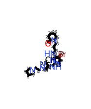 Cc1nn(CCN2CCCC2)cc1Nc1ncc(Br)c(NCCCN2CCCCC2=O)n1